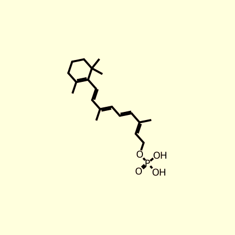 CC(C=CC1=C(C)CCCC1(C)C)=CC=CC(C)=CCOP(=O)(O)O